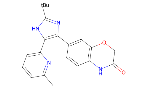 Cc1cccc(-c2[nH]c(C(C)(C)C)nc2-c2ccc3c(c2)OCC(=O)N3)n1